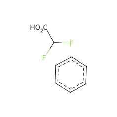 O=C(O)C(F)F.c1ccccc1